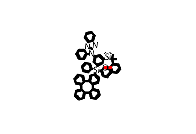 CC1(C)c2ccccc2Oc2c([Si](c3ccccc3)(c3ccccc3)c3ccc4c(c3)-c3ccccc3-c3ccccc3-c3ccccc3-4)cc(-n3c4ccccc4n4c5ccccc5nc34)cc2[Si]1(C)C